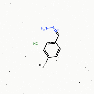 Cl.N/N=C\c1ccc(C(=O)O)cc1